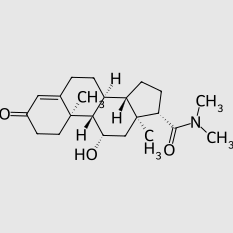 CN(C)C(=O)[C@H]1CC[C@H]2[C@@H]3CCC4=CC(=O)CC[C@]4(C)[C@H]3[C@@H](O)C[C@]12C